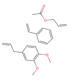 C=CCOC(C)=O.C=CCc1ccc(OC)c(OC)c1.C=Cc1ccccc1